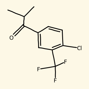 CC(C)C(=O)c1ccc(Cl)c(C(F)(F)F)c1